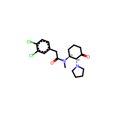 CN(C(=O)Cc1ccc(Cl)c(Cl)c1)[C@H]1CCCC(=O)[C@@H]1N1CCCC1